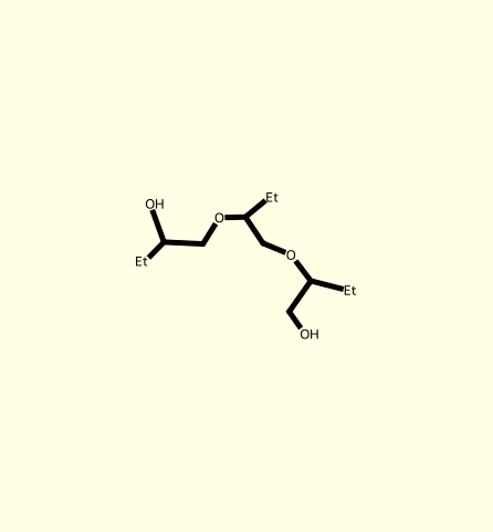 CCC(O)COC(CC)COC(CC)CO